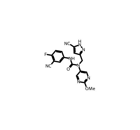 COc1ncc(N(Cc2cc(C#N)[nH]n2)C(=O)Nc2ccc(F)c(C#N)c2)cn1